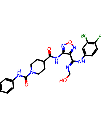 O=C(Nc1nonc1/C(=N/CO)Nc1ccc(F)c(Br)c1)C1CCN(C(=O)Nc2ccccc2)CC1